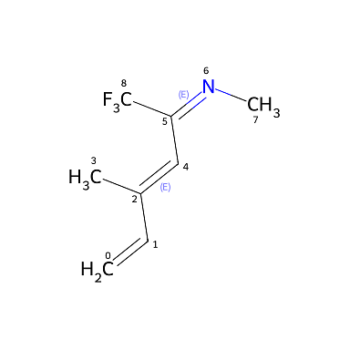 C=C/C(C)=C/C(=N\C)C(F)(F)F